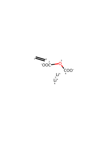 C=C.O=C([O-])OC(=O)[O-].[Li+].[Li+]